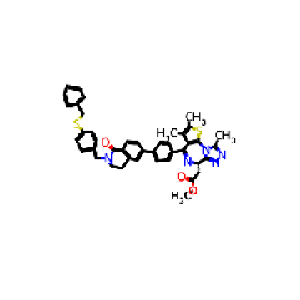 COC(=O)C[C@@H]1N=C(c2ccc(-c3ccc4c(c3)CCN(Cc3ccc(SCc5ccccc5)cc3)C4=O)cc2)c2c(sc(C)c2C)-n2c(C)nnc21